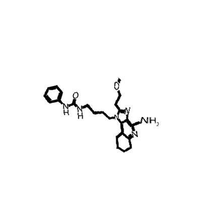 COCCc1nc2c(N)nc3c(c2n1CCCCNC(=O)Nc1ccccc1)CCCC3